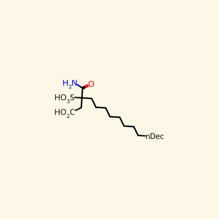 CCCCCCCCCCCCCCCCCCC(CC(=O)O)(C(N)=O)S(=O)(=O)O